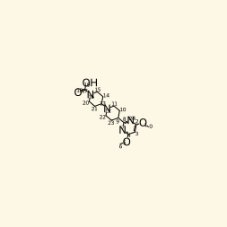 COc1cc(OC)nc(C2CCN(C3CCN(C(=O)O)CC3)CC2)n1